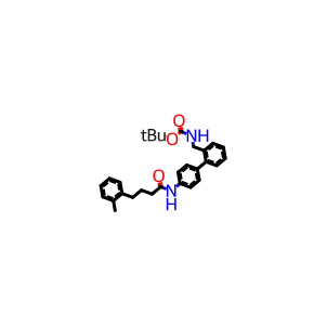 Cc1ccccc1CCCC(=O)Nc1ccc(-c2ccccc2CNC(=O)OC(C)(C)C)cc1